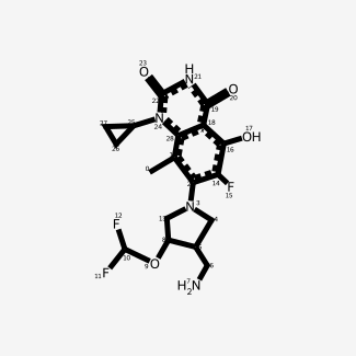 Cc1c(N2CC(CN)C(OC(F)F)C2)c(F)c(O)c2c(=O)[nH]c(=O)n(C3CC3)c12